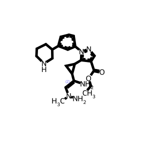 CCOC(=O)c1cnn(-c2cccc(C3CCCNC3)c2)c1C1CC1/C(N)=C/N(C)N